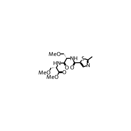 COC[C@H](NC(=O)c1cnc(C)s1)C(=O)N[C@@H](COC)C(=O)OC